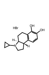 Br.Oc1ccc2c(c1O)CC[C@H]1[C@H]2CCN1C1CC1